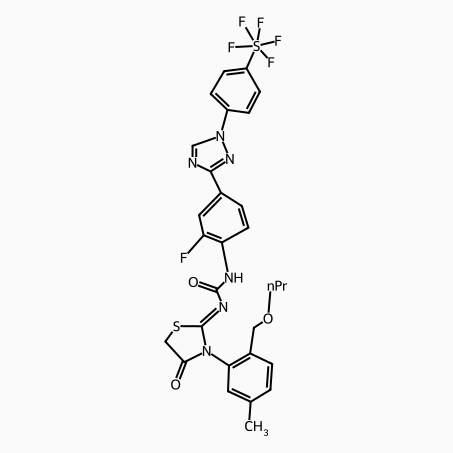 CCCOCc1ccc(C)cc1N1C(=O)CSC1=NC(=O)Nc1ccc(-c2ncn(-c3ccc(S(F)(F)(F)(F)F)cc3)n2)cc1F